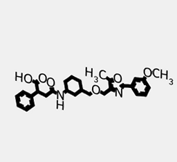 COc1cccc(-c2nc(COCC3CCCC(NC(=O)CC(C(=O)O)c4ccccc4)C3)c(C)o2)c1